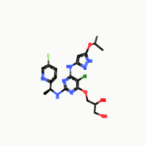 CC(C)Oc1cc(Nc2nc(N[C@@H](C)c3ccc(F)cn3)nc(OCC(O)CO)c2Cl)n[nH]1